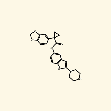 O=C(Nc1ccc2[nH]c(C3CCNCC3)cc2c1)C1(c2ccc3c(c2)OCO3)CC1